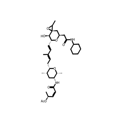 CC(=O)O[C@@H](C)/C=C\C(=O)N[C@@H]1C[C@H](C)[C@H](C/C=C(C)/C=C/[C@H]2O[C@H](CC(=O)NC3CCCCC3)C[C@]3(OC3C)[C@@H]2O)O[C@@H]1C